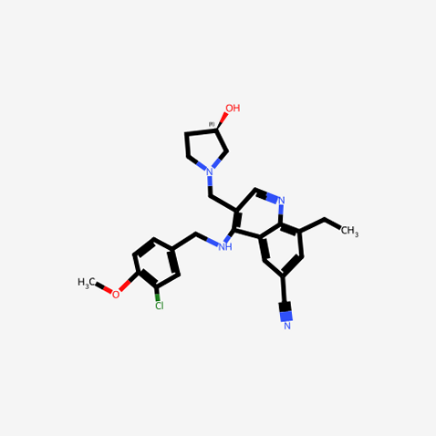 CCc1cc(C#N)cc2c(NCc3ccc(OC)c(Cl)c3)c(CN3CC[C@@H](O)C3)cnc12